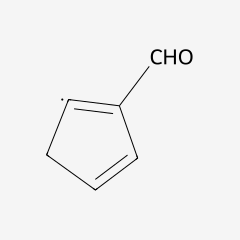 O=CC1=[C]CC=C1